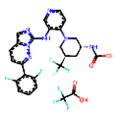 O=C(O)C(F)(F)F.O=C(O)N[C@@H]1C[C@@H](C(F)(F)F)CN(c2ccncc2Nc2ncc3ccc(-c4c(F)cccc4F)nn23)C1